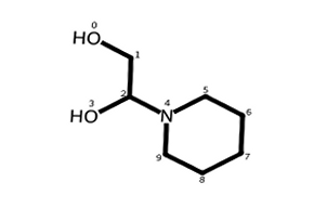 OCC(O)N1CCCCC1